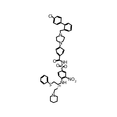 O=C(NS(=O)(=O)c1ccc(N[C@H](CCN2CCCCC2)CSc2ccccc2)c([N+](=O)[O-])c1)c1ccc(N2CCN(Cc3ccccc3-c3ccc(Cl)cc3)CC2)cc1